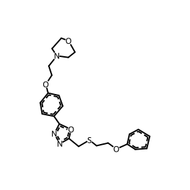 c1ccc(OCCSCc2nnc(-c3ccc(OCCN4CCOCC4)cc3)o2)cc1